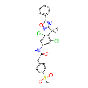 CCS(=O)(=O)c1ccc(CC(=O)Nc2cc(Cl)c(C3(c4noc(-c5ccccc5)n4)CC3)c(Cl)c2)cc1